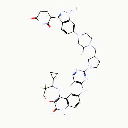 CC1CN(c2ccc3c(C4CCC(=O)NC4=O)nn(C)c3c2)CCN1CC1CCN(c2ncc(Cl)c(Nc3ccc4c(c3)c3c(c(=O)n4C)OCC(F)(F)C(C4CC4)N3)n2)C1